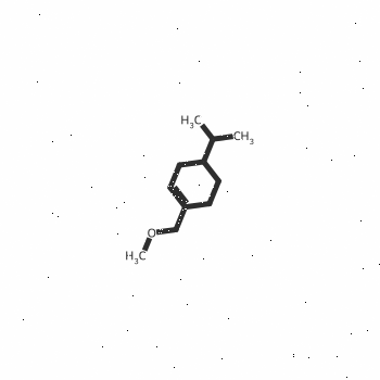 COCC1=CCC(C(C)C)CC1